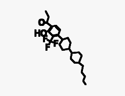 CCCCCC1CCC(C2CCC(c3ccc(C(=O)CC)c(O)c3C(F)(F)F)CC2)CC1